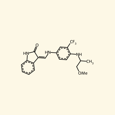 COCC(C)Nc1ccc(NC=C2C(=O)Nc3ccccc32)cc1C(F)(F)F